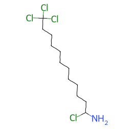 NC(Cl)CCCCCCCCCCC(Cl)(Cl)Cl